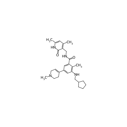 Cc1cc(C)c(CNC(=O)c2cc(C3=CCN(C)CC3)cc(NCC3CCCC3)c2C)c(=O)[nH]1